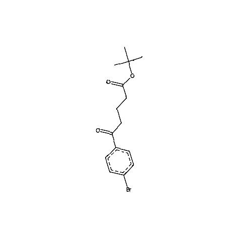 CC(C)(C)OC(=O)CCCC(=O)c1ccc(Br)cc1